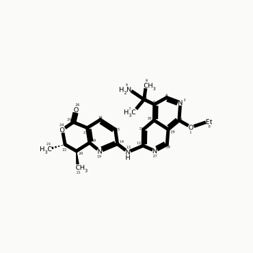 CCOc1ncc(C(C)(C)N)c2cc(Nc3ccc4c(n3)[C@@H](C)[C@H](C)OC4=O)ncc12